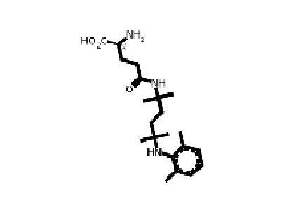 Cc1cccc(C)c1NC(C)(C)CCC(C)(C)NC(=O)CC[C@H](N)C(=O)O